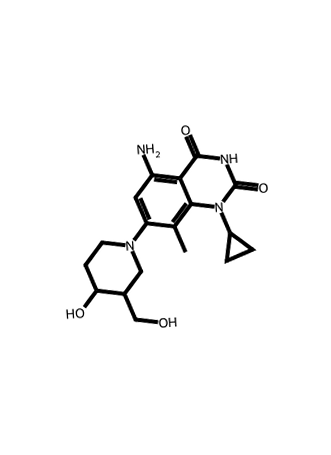 Cc1c(N2CCC(O)C(CO)C2)cc(N)c2c(=O)[nH]c(=O)n(C3CC3)c12